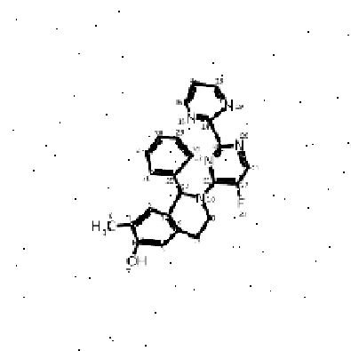 Cc1cc2c(cc1O)CCN(c1nc(-c3ncccn3)ncc1F)C2c1ccccc1